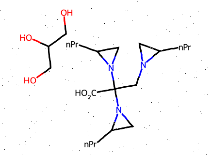 CCCC1CN1CC(C(=O)O)(N1CC1CCC)N1CC1CCC.OCC(O)CO